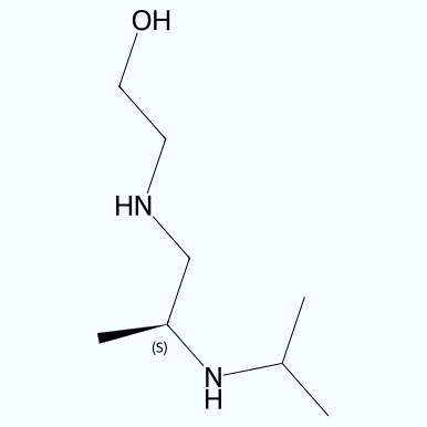 CC(C)N[C@@H](C)CNCCO